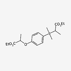 CCOC(=O)C(C)Oc1ccc(S(C)(C)C(C)C(=O)OCC)cc1